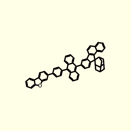 c1ccc2c3c(ccc2c1)-c1cc(-c2c4ccccc4c(-c4ccc(-c5ccc6c(c5)oc5ccccc56)cc4)c4ccccc24)ccc1C31C2CC3CC(C2)CC1C3